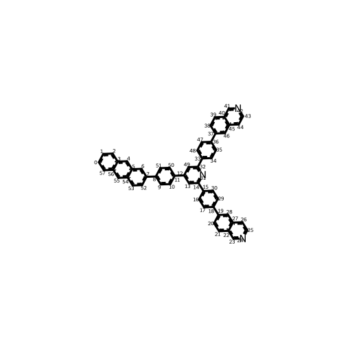 c1ccc2cc3cc(-c4ccc(-c5cc(-c6ccc(-c7ccc8cnccc8c7)cc6)nc(-c6ccc(-c7ccc8cnccc8c7)cc6)c5)cc4)ccc3cc2c1